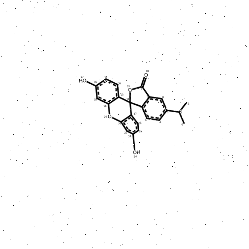 CC(C)c1ccc2c(c1)C(=O)OC21c2ccc(O)cc2Oc2cc(O)ccc21